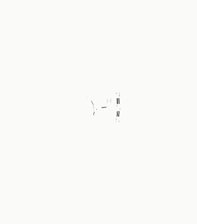 C[NH+](C)C.[N-]=[N+]=[N-]